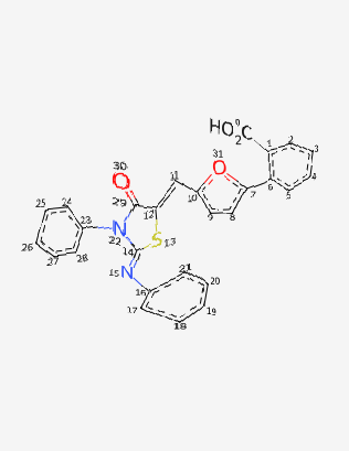 O=C(O)c1ccccc1-c1ccc(/C=C2\S/C(=N\c3ccccc3)N(c3ccccc3)C2=O)o1